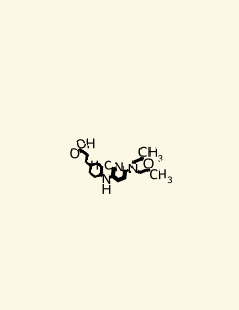 Cc1nc(N2CC(C)OC(C)C2)ccc1NC1CCC(CCC(=O)O)CC1